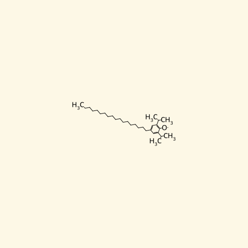 CCCCCCCCCCCCCCCCCCc1cc(C(C)C)c([O])c(C(C)C)c1